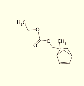 CCOC(=O)OCC1(C)CC2C=CC1C2